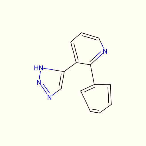 c1ccc(-c2ncccc2-c2cnn[nH]2)cc1